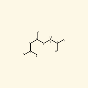 CC(C)CC(C)CPC(C)C